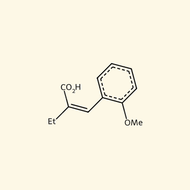 CCC(=Cc1ccccc1OC)C(=O)O